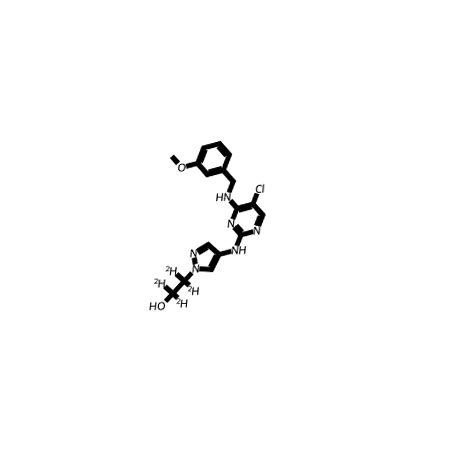 [2H]C([2H])(O)C([2H])([2H])n1cc(Nc2ncc(Cl)c(NCc3cccc(OC)c3)n2)cn1